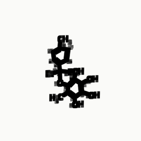 CCC(CC)(Oc1c(C)c(O)c(O)c(O)c1O)c1ccc(C)cc1